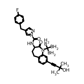 BC(B)(B)N1C(=O)C(NC(=O)n2cc(Cc3ccc(F)cc3)cn2)CCc2ccc(C#CC(C)(C)O)cc21